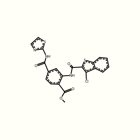 COC(=O)c1ccc(C(=O)Nc2nccs2)cc1NC(=O)c1sc2ccccc2c1Cl